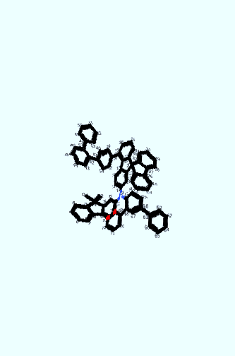 CC1(C)c2ccccc2-c2ccc(N(c3ccc4c(c3)C3(c5ccccc5-c5ccccc53)c3cccc(-c5ccc(-c6ccccc6-c6ccccc6)cc5)c3-4)c3ccc(-c4ccccc4)cc3-c3ccccc3)cc21